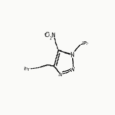 CC(C)c1nnn(C(C)C)c1[N+](=O)[O-]